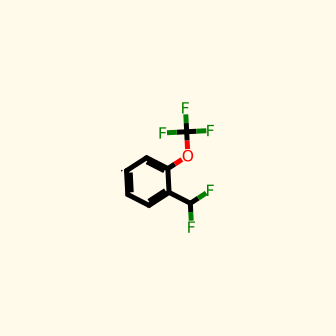 FC(F)c1cc[c]cc1OC(F)(F)F